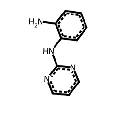 Nc1ccccc1Nc1ncccn1